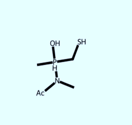 CC(=O)N(C)[PH](C)(O)CS